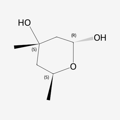 C[C@H]1C[C@](C)(O)C[C@H](O)O1